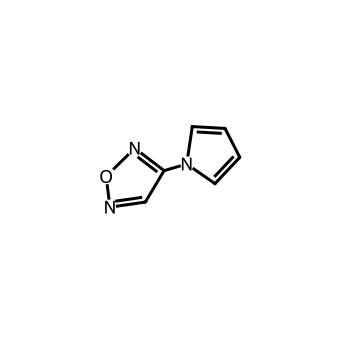 c1ccn(-c2cnon2)c1